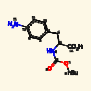 CCCCOC(=O)NC(Cc1ccc(N)cc1)C(=O)O